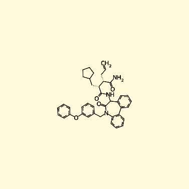 C=CC[C@H](C(N)=O)[C@@H](CC1CCCC1)C(=O)NC1C(=O)N(Cc2cccc(Oc3ccccc3)c2)c2ccccc2-c2ccccc21